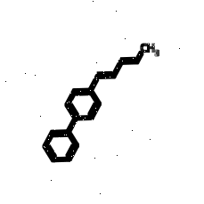 C/C=C/C=C/c1ccc(-c2ccccc2)cc1